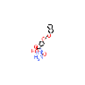 NC(=O)NN=C(C(=O)O)c1ccc(OCCOc2ccc3ccccc3c2)cc1